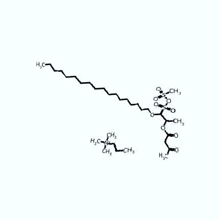 CCCCCCCCCCCCCCCCCCOC(C(C)OC(=O)CC(C)=O)S(=O)(=O)OS(C)(=O)=O.CCC[N+](C)(C)C